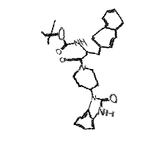 CC(C)(C)OC(=O)NC(Cc1ccc2ccccc2c1)C(=O)N1CCC(n2c(=O)[nH]c3ccccc32)CC1